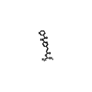 CC(C)OC(=O)/C=C/c1ccc(NC(=O)c2cccnc2)nc1